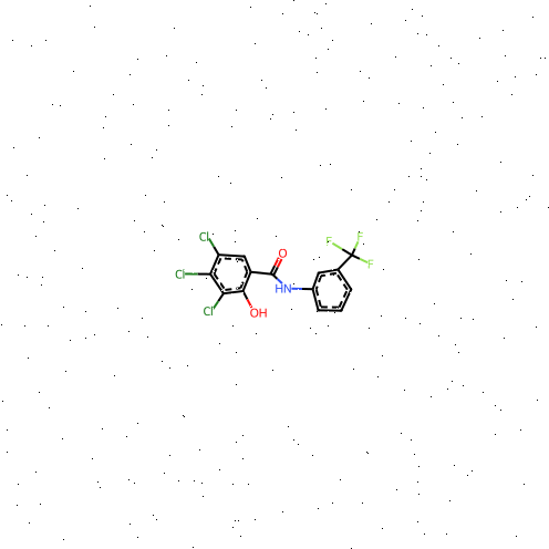 O=C(Nc1cccc(C(F)(F)F)c1)c1cc(Cl)c(Cl)c(Cl)c1O